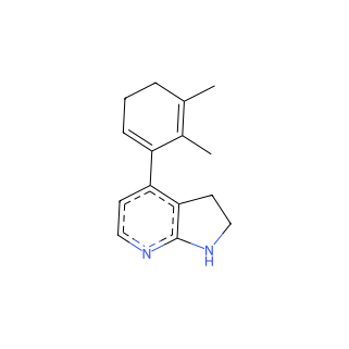 CC1=C(C)C(c2ccnc3c2CCN3)=CCC1